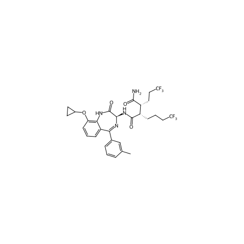 Cc1cccc(C2=N[C@H](NC(=O)[C@@H](CCCC(F)(F)F)[C@@H](CCC(F)(F)F)C(N)=O)C(=O)Nc3c(OC4CC4)cccc32)c1